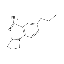 CCCc1ccc(N2CCCS2)c(C(N)=O)c1